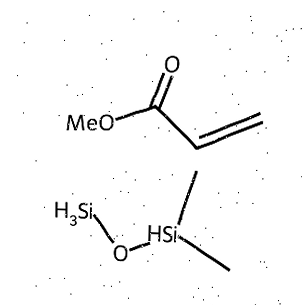 C=CC(=O)OC.C[SiH](C)O[SiH3]